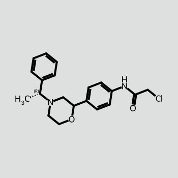 C[C@H](c1ccccc1)N1CCOC(c2ccc(NC(=O)CCl)cc2)C1